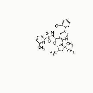 CC1CN(c2ncc(-c3ccccc3Cl)cc2C(=O)NS(=O)(=O)c2cccc(N)n2)C(C)(C)C1